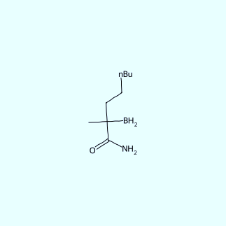 BC(C)(CCCCCC)C(N)=O